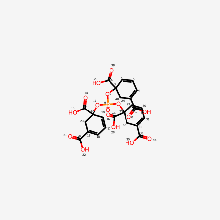 O=C(O)C1=CC=CC(OP(=O)(OC2(C(=O)O)C=CC=C(C(=O)O)C2)OC2(C(=O)O)C=CC=C(C(=O)O)C2)(C(=O)O)C1